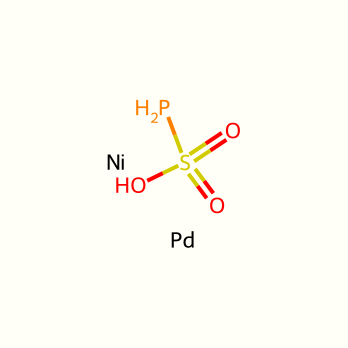 O=S(=O)(O)P.[Ni].[Pd]